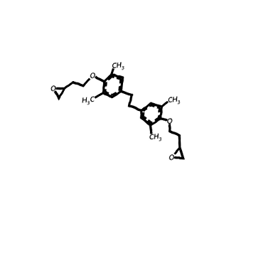 Cc1cc(CCc2cc(C)c(OCCC3CO3)c(C)c2)cc(C)c1OCCC1CO1